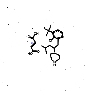 CC(C)CN(Cc1cccc(C(F)(F)F)c1Cl)C1CCNCC1.O=C(O)/C=C/C(=O)O